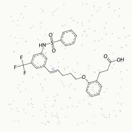 O=C(O)CCc1ccccc1OCCC/C=C/c1cc(NS(=O)(=O)c2ccccc2)cc(C(F)(F)F)c1